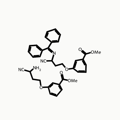 COC(=O)c1cccc(OCCC(C#N)N=C(c2ccccc2)c2ccccc2)c1.COC(=O)c1cccc(OCCC(N)C#N)c1